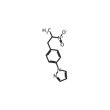 CC(Cc1ccc(-n2cccn2)cc1)[N+](=O)[O-]